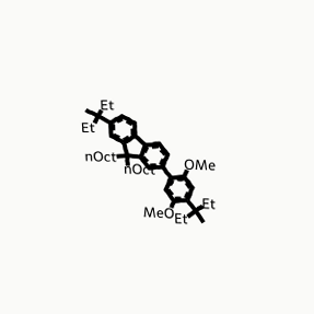 CCCCCCCCC1(CCCCCCCC)c2cc(-c3cc(OC)c(C(C)(CC)CC)cc3OC)ccc2-c2ccc(C(C)(CC)CC)cc21